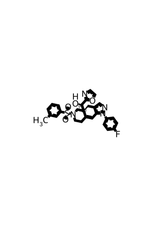 Cc1cccc(S(=O)(=O)N2CCC3=Cc4c(cnn4-c4ccc(F)cc4)C[C@]3([C@@H](O)c3ncco3)C2)c1